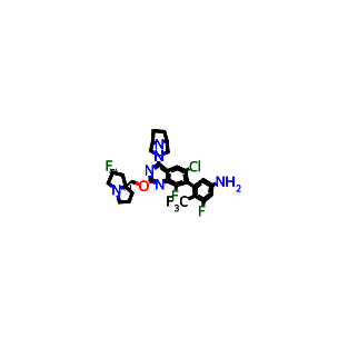 Nc1cc(F)c(C(F)(F)F)c(-c2c(Cl)cc3c(N4CC5CCC(C4)N5)nc(OC[C@@]45CCCN4C[C@H](F)C5)nc3c2F)c1